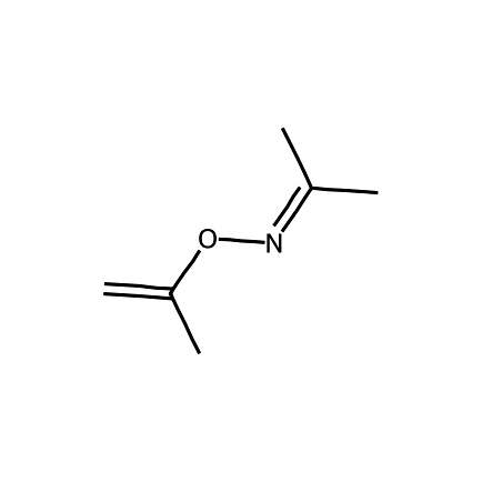 C=C(C)ON=C(C)C